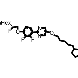 CCCCCC[C@@H](F)COc1ccc(-c2ncc(OCCCCCCC3CCCC3)cn2)c(F)c1F